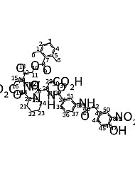 Cc1cccc(C)c1C(=O)OCC(=O)[C@H](CC(=O)O)NC(=O)C1CCCCN1C(=O)C(CC(=O)O)NC(=O)c1cccc(NC(=O)Cc2ccc(O)c([N+](=O)[O-])c2)c1